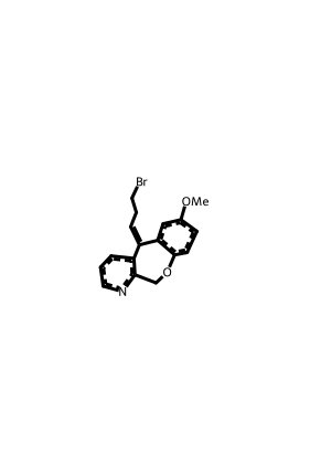 COc1ccc2c(c1)/C(=C\CCBr)c1cccnc1CO2